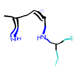 CC(=N)/C=C\NC(F)F